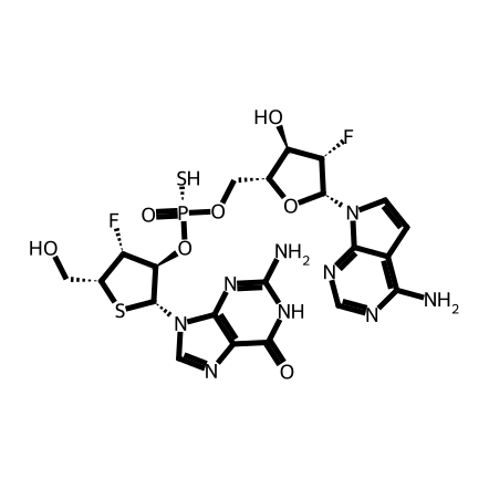 Nc1nc2c(ncn2[C@@H]2S[C@H](CO)[C@H](F)[C@H]2O[P@](=O)(S)OC[C@H]2O[C@@H](n3ccc4c(N)ncnc43)[C@@H](F)[C@@H]2O)c(=O)[nH]1